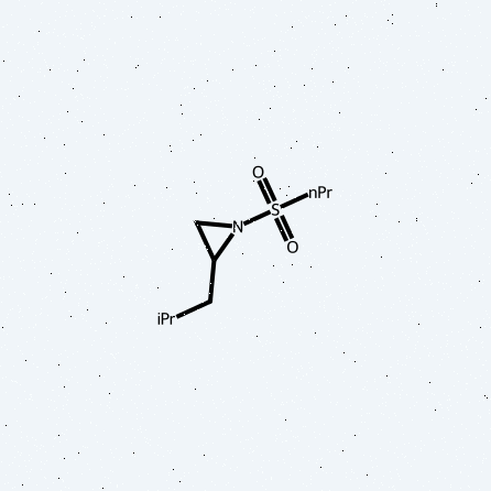 CCCS(=O)(=O)N1CC1CC(C)C